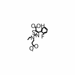 CCN(CCC(=O)OC)c1nc(-c2ccccc2F)c(C(=O)O)s1